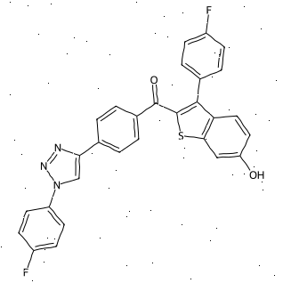 O=C(c1ccc(-c2cn(-c3ccc(F)cc3)nn2)cc1)c1sc2cc(O)ccc2c1-c1ccc(F)cc1